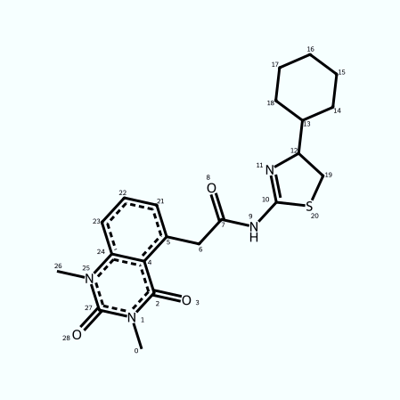 Cn1c(=O)c2c(CC(=O)NC3=NC(C4CCCCC4)CS3)cccc2n(C)c1=O